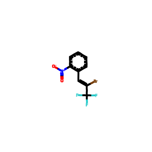 O=[N+]([O-])c1ccccc1/C=C(\Br)C(F)(F)F